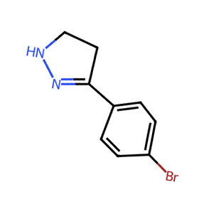 Brc1ccc(C2=NNCC2)cc1